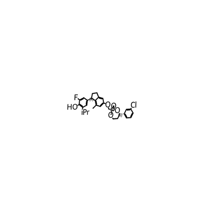 Cc1cc(OC[P@]2(=O)OCC[C@@H](c3cccc(Cl)c3)O2)cc2c1[C@@H](c1cc(F)c(O)c(C(C)C)c1)CC2